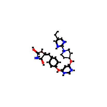 CCc1cnc(N2CCC(Oc3cc(Oc4ccc(/C=C5/SC(=O)NC5=O)cc4)ncn3)CC2)nc1